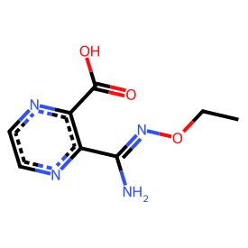 CCON=C(N)c1nccnc1C(=O)O